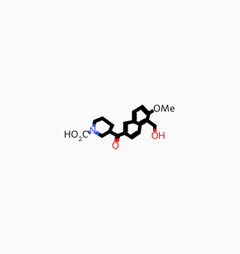 COc1ccc2cc(C(=O)C3CCCN(C(=O)O)C3)ccc2c1CO